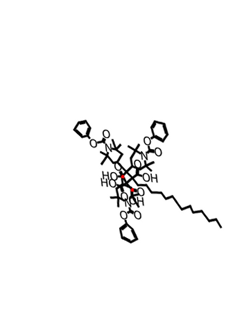 CCCCCCCCCCCCCC(C(=O)O)(C(C(=O)O)(C(=O)O)C(=O)O)C(CC1CC(C)(C)N(C(=O)Oc2ccccc2)C(C)(C)C1)(C1CC(C)(C)N(C(=O)Oc2ccccc2)C(C)(C)C1)C1CC(C)(C)N(C(=O)Oc2ccccc2)C(C)(C)C1